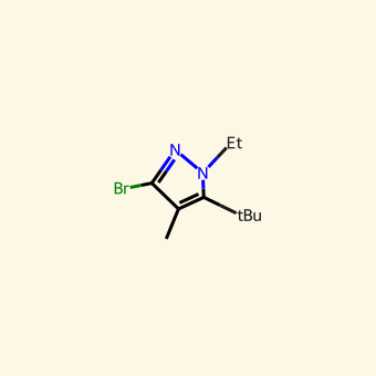 CCn1nc(Br)c(C)c1C(C)(C)C